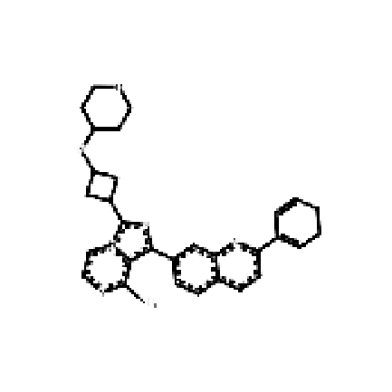 Nc1nccn2c(C3CC(NC4CCOCC4)C3)nc(-c3ccc4ccc(C5=CCCC=C5)nc4c3)c12